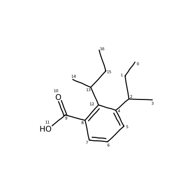 CCC(C)c1cccc(C(=O)O)c1C(C)CC